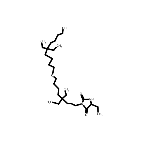 CCC1NC(=O)N(CCCC(CC)(CC)CCCCOCCCCC(CC)(CC)CCCCO)C1=O